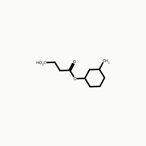 CC1CCCC(OC(=O)CCC(=O)O)C1